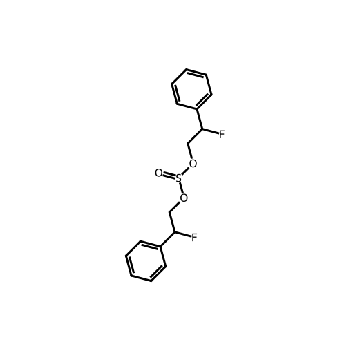 O=S(OCC(F)c1ccccc1)OCC(F)c1ccccc1